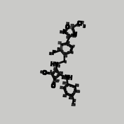 O=c1c(NCc2ccc(-c3noc(C(F)(F)F)n3)cc2F)c(Nc2ccc(F)cc2)c1=O